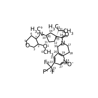 COC1COCCC1N(C)[C@@H]1CC[C@@](C(=O)N2CCc3c(cc(C(F)(F)F)c[n+]3[O-])C2)(C(C)C)C1